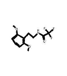 COc1cccc(OC)c1CCNC(=O)C(F)(F)F